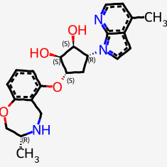 Cc1ccnc2c1ccn2[C@@H]1C[C@H](Oc2cccc3c2CN[C@H](C)CO3)[C@@H](O)[C@H]1O